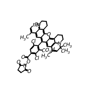 CC1=CC(C)(C)N2CCCc3c4c(cc1c32)C(c1c(Cl)cc(C(=O)ON2C(=O)CCC2=O)c(Cl)c1C(=O)O)=c1cc(/C(C)=C\C(C)(C)C)c2c(c1O4)CCCN=2